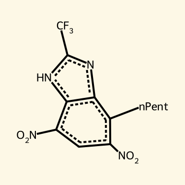 CCCCCc1c([N+](=O)[O-])cc([N+](=O)[O-])c2[nH]c(C(F)(F)F)nc12